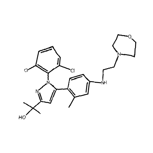 Cc1cc(NCCN2CCOCC2)ccc1-c1cc(C(C)(C)O)nn1-c1c(Cl)cccc1Cl